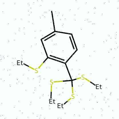 CCSc1cc(C)ccc1C(SCC)(SCC)SCC